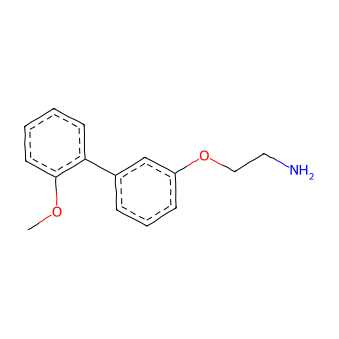 COc1ccccc1-c1cccc(OCCN)c1